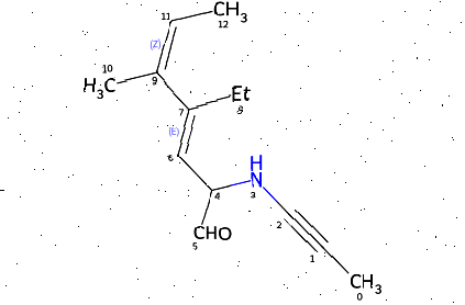 CC#CNC(C=O)/C=C(CC)/C(C)=C\C